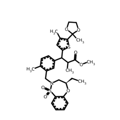 CC[C@@H]1CN(Cc2cc(C(c3cc(C)c(C4(C)OCCO4)s3)C(C)C(=O)OC)ccc2C)S(=O)(=O)c2ccccc2O1